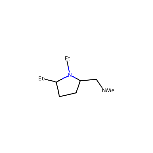 CCC1CCC(CNC)N1CC